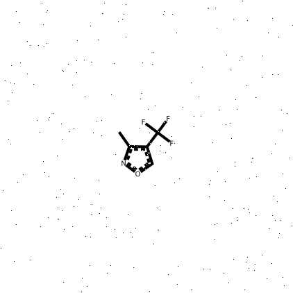 Cc1nocc1C(F)(F)F